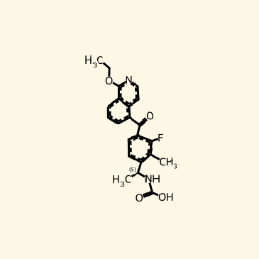 CCOc1nccc2c(C(=O)c3ccc([C@H](C)NC(=O)O)c(C)c3F)cccc12